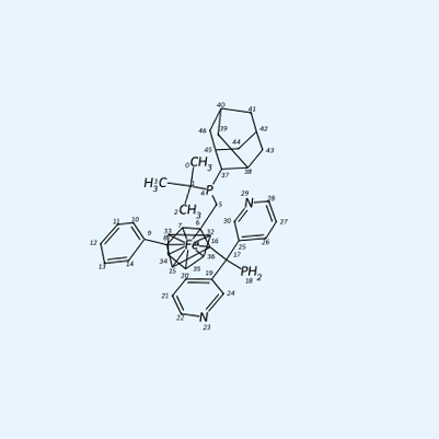 CC(C)(C)P(C[C]12[CH]3[C]4(c5ccccc5)[CH]5[C]1(C(P)(c1cccnc1)c1cccnc1)[Fe]35421678[CH]2[CH]1[CH]6[CH]7[CH]28)C1C2CC3CC(C2)CC1C3